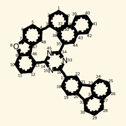 c1ccc(-c2ccc3oc4cccc(-c5nc(-c6ccc7c(c6)-c6cccc8cccc-7c68)nc(-c6ccc7ccccc7c6)n5)c4c3c2)cc1